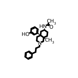 CC(=O)N[C@@H]1CC[C@]2(C)CN(CCCc3ccccc3)CC[C@]2(c2cccc(O)c2)C1